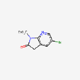 CCOC(=O)N1C(=O)Cc2cc(Br)cnc21